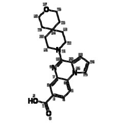 O=C(O)c1ccc2c(c1)nc(N1CCC3(CCOCC3)CC1)c1cccn12